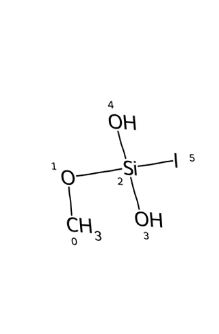 CO[Si](O)(O)I